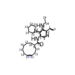 C=Cc1ncc(NC(=O)C2CC/C=C\CCCCC2)c(N2CCCCC2)c1NCC